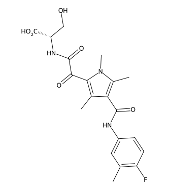 Cc1cc(NC(=O)c2c(C)c(C(=O)C(=O)N[C@@H](CO)C(=O)O)n(C)c2C)ccc1F